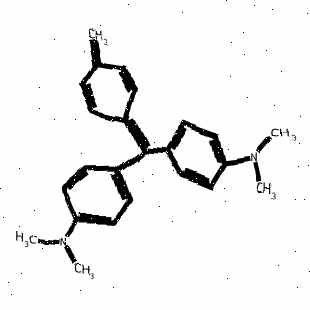 C=c1ccc(=C(c2ccc(N(C)C)cc2)c2ccc(N(C)C)cc2)cc1